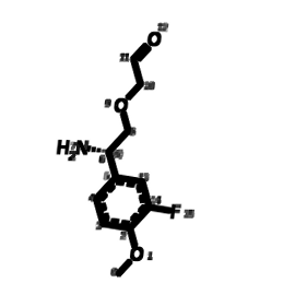 COc1ccc([C@H](N)COCC=O)cc1F